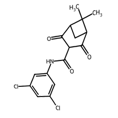 CC1(C)C2CC1C(=O)C(C(=O)Nc1cc(Cl)cc(Cl)c1)C2=O